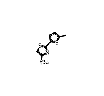 Cc1ccc(-c2nc(C(C)(C)C)cs2)s1